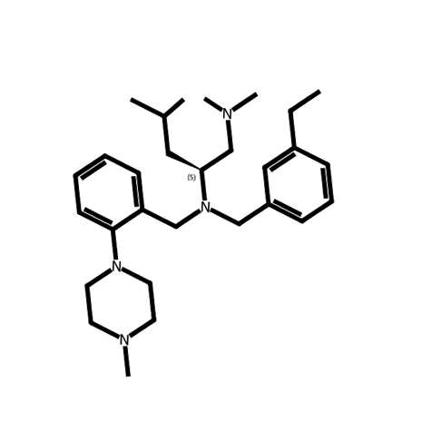 CCc1cccc(CN(Cc2ccccc2N2CCN(C)CC2)[C@@H](CC(C)C)CN(C)C)c1